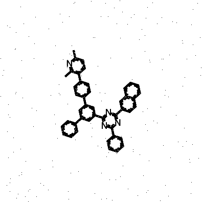 Cc1ccc(-c2ccc(-c3cc(-c4ccccc4)cc(-c4nc(-c5ccccc5)nc(-c5ccc6ccccc6c5)n4)c3)cc2)c(C)n1